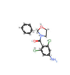 Nc1cc(Cl)c(C(=O)N2CCO[C@H]2c2ccccc2)c(Cl)c1